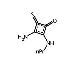 CCCNc1c(N)c(=S)c1=O